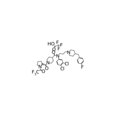 O=C(O)C(F)(F)F.O=C([C@@H]1CCCN1C(=O)C(F)(F)F)N1CCC(C(=O)N(CCCN2CCC(Cc3ccc(F)cc3)CC2)c2ccc(Cl)c(Cl)c2)CC1